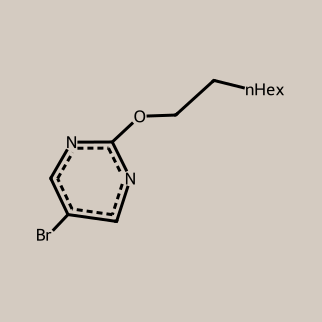 CCCCCCCCOc1ncc(Br)cn1